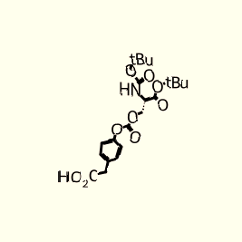 CC(C)(C)OC(=O)N[C@@H](COC(=O)Oc1ccc(CC(=O)O)cc1)C(=O)OC(C)(C)C